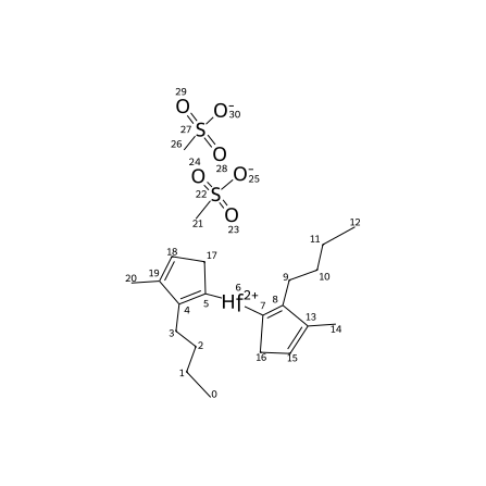 CCCCC1=[C]([Hf+2][C]2=C(CCCC)C(C)=CC2)CC=C1C.CS(=O)(=O)[O-].CS(=O)(=O)[O-]